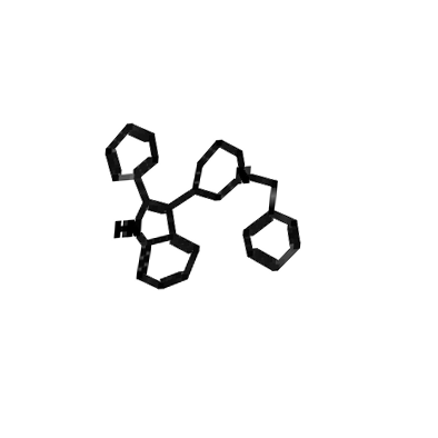 c1ccc(CN2CCCC(c3c(-c4ccccc4)[nH]c4ccccc34)C2)cc1